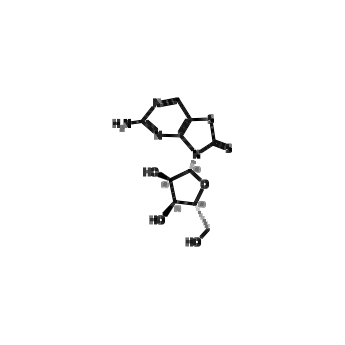 Nc1ncc2sc(=S)n([C@@H]3O[C@H](CO)[C@@H](O)[C@H]3O)c2n1